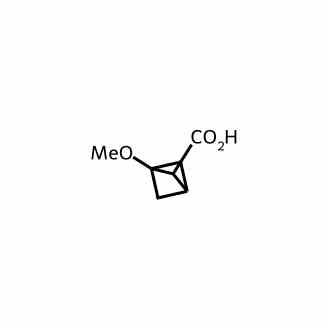 COC12CC(C1)C2C(=O)O